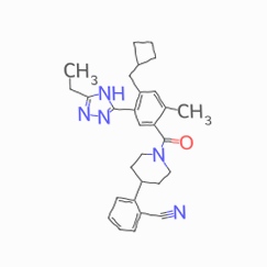 CCc1nnc(-c2cc(C(=O)N3CCC(c4ccccc4C#N)CC3)c(C)cc2CC2CCC2)[nH]1